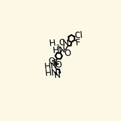 Cn1c(C(=O)Nc2ccc(S(=O)(=O)Nc3ccn[nH]3)cc2)cc2c(F)c(Cl)ccc21